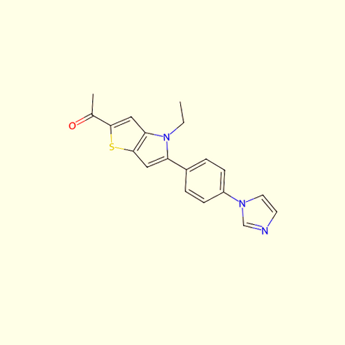 CCn1c(-c2ccc(-n3ccnc3)cc2)cc2sc(C(C)=O)cc21